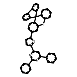 c1ccc(-c2cc(-c3ccc(-c4ccc5c(c4)Sc4ccccc4C54c5ccccc5-c5ccccc54)s3)nc(-c3ccccc3)n2)cc1